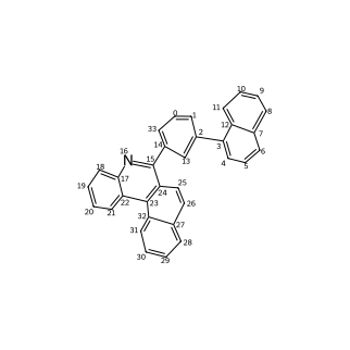 c1cc(-c2cccc3ccccc23)cc(-c2nc3ccccc3c3c2ccc2ccccc23)c1